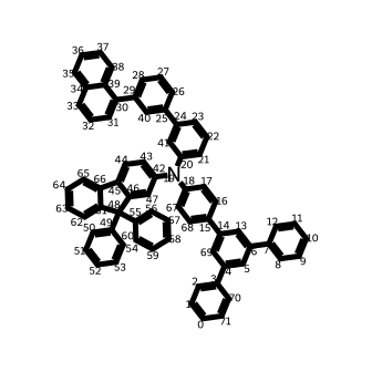 c1ccc(-c2cc(-c3ccccc3)cc(-c3ccc(N(c4cccc(-c5cccc(-c6cccc7ccccc67)c5)c4)c4ccc5c(c4)C(c4ccccc4)(c4ccccc4)c4ccccc4-5)cc3)c2)cc1